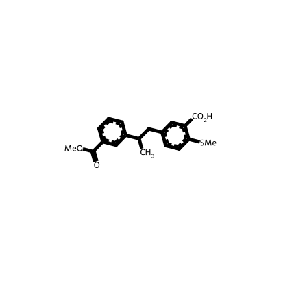 COC(=O)c1cccc(C(C)Cc2ccc(SC)c(C(=O)O)c2)c1